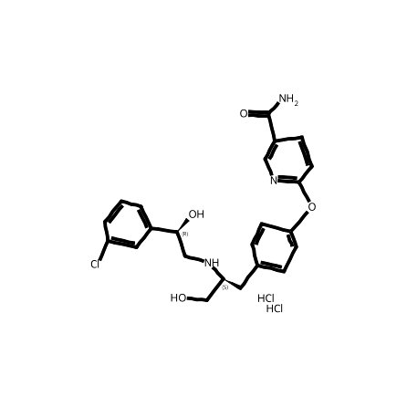 Cl.Cl.NC(=O)c1ccc(Oc2ccc(C[C@@H](CO)NC[C@H](O)c3cccc(Cl)c3)cc2)nc1